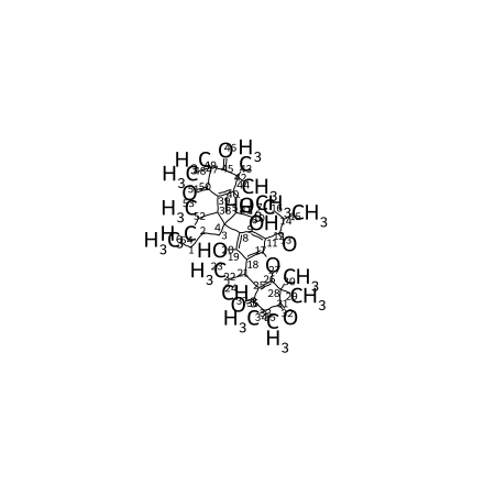 CCCCC(CCC)(c1c(O)c(C(=O)C(C)C)c2c(c1O)C(C(C)C)C1=C(O2)C(C)(C)C(=O)C(C)(C)C1=O)C(C1=C(O)C(C)(C)C(=O)C(C)(C)C1=O)C(C)C